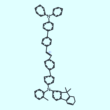 Cc1ccccc1N(c1ccc(-c2ccc(/C=C/c3ccc(-c4ccc(N(c5ccccc5)c5ccccc5)cc4)cc3)cc2)cc1)c1ccc2c(c1)C(C)(C)C1=C2C=CCC1